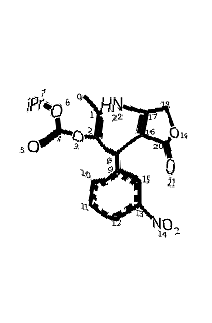 CC1=C(OC(=O)OC(C)C)C(c2cccc([N+](=O)[O-])c2)C2=C(COC2=O)N1